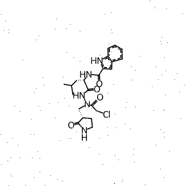 CC(C)C[C@H](NC(=O)c1cc2ccccc2[nH]1)C(=O)NN(C[C@@H]1CCNC1=O)C(=O)CCl